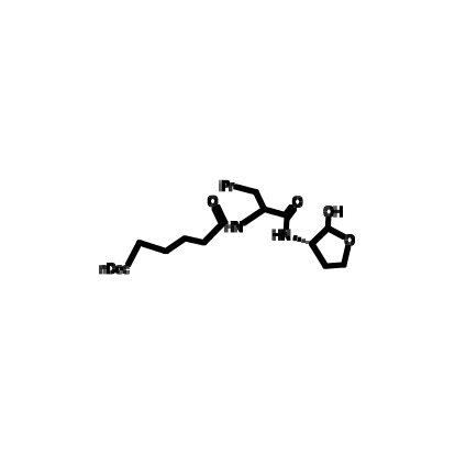 CCCCCCCCCCCCCCC(=O)NC(CC(C)C)C(=O)N[C@H]1CCOC1O